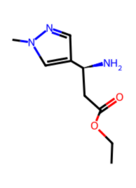 CCOC(=O)C[C@H](N)c1cnn(C)c1